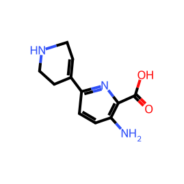 Nc1ccc(C2=CCNCC2)nc1C(=O)O